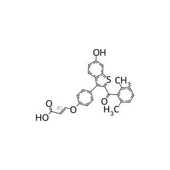 Cc1cccc(C)c1C(=O)c1sc2cc(O)ccc2c1-c1ccc(O/C=C/C(=O)O)cc1